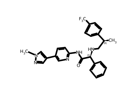 C[C@@H](CN[C@H](C(=O)Nc1ccc(-c2cnn(C)c2)cn1)c1ccccc1)c1ccc(C(F)(F)F)cc1